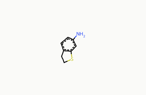 Nc1ccc2c(c1)SCC2